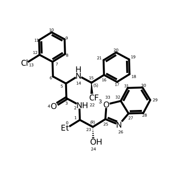 CCC(NC(=O)C(Cc1ccccc1Cl)N[C@@H](c1ccccc1)C(F)(F)F)[C@@H](O)c1nc2ccccc2o1